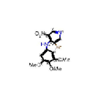 COc1cc(Nc2c(Br)cncc2[N+](=O)[O-])cc(OC)c1OC